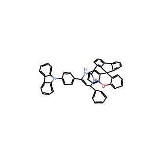 C1=C(c2ccc(-n3c4ccccc4c4ccccc43)cc2)NC(c2cccc3c2C2(c4ccccc4Oc4ccccc42)c2ccccc2-3)NC1c1ccccc1